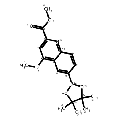 COC(=O)c1cc(OC)c2cc(B3OC(C)(C)C(C)(C)O3)ccc2n1